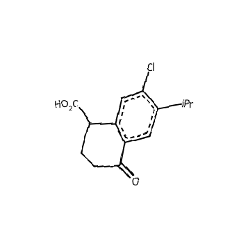 CC(C)c1cc2c(cc1Cl)C(C(=O)O)CCC2=O